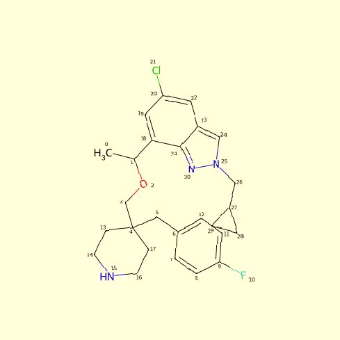 CC(OCC1(Cc2ccc(F)cc2)CCNCC1)c1cc(Cl)cc2cn(CC3CC3)nc12